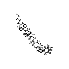 CCCCCC1COC(C2COC(C3CCC(C4CCC(C(F)(F)Oc5cc(F)c(F)c(F)c5)CC4)CC3)OC2)OC1